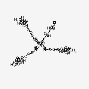 CC(=O)N[C@H]1[C@@H]2OC[C@](COCCOCCOCCOCCn3cc(COCC(COCc4cn(CCOCCOCCOCCOC[C@@]56CO[C@@H](O5)[C@H](NC(C)=O)[C@@H](O)[C@H]6O)nn4)(COCc4cn(CCOCCOCCOCCOC[C@@]56CO[C@@H](O5)[C@H](NC(C)=O)[C@@H](O)[C@H]6O)nn4)NC(=O)CCCCCNC(=O)CCCCCNC(=O)OCc4ccccc4)nn3)(O2)[C@H](O)[C@@H]1O